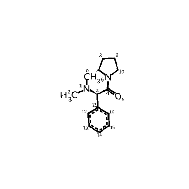 CN(C)[C@@H](C(=O)N1CCCC1)c1ccccc1